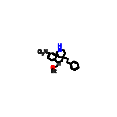 CCOC[C@@H](CC1(CCc2ccccc2)CCNCC1)c1ccc([N+](=O)[O-])cc1